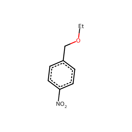 CCOCc1ccc([N+](=O)[O-])cc1